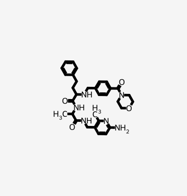 Cc1nc(N)ccc1CNC(=O)C(C)NC(=O)C(CCc1ccccc1)NCc1ccc(C(=O)N2CCOCC2)cc1